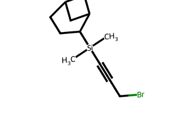 C[Si](C)(C#CCBr)C1CCC2CC1C2